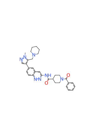 Cn1ncc(-c2ccc3nnc(NC(=O)C4CCN(C(=O)c5ccccc5)CC4)cc3c2)c1CN1CCCCC1